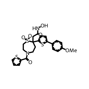 COc1ccc(-c2ccc(C3(CC(=O)NO)CCN(C(=O)c4cccs4)CCS3(=O)=O)s2)cc1